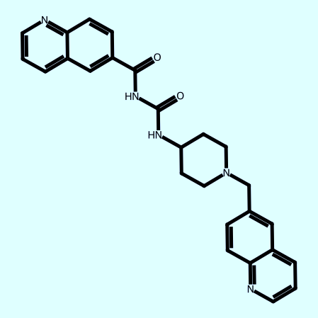 O=C(NC(=O)c1ccc2ncccc2c1)NC1CCN(Cc2ccc3ncccc3c2)CC1